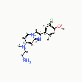 COc1cc(C)c(-c2cn3ccc(N(C)CCN)cc3n2)cc1Cl